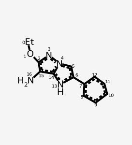 CCOc1nn2cc(-c3ccccc3)[nH]c2c1N